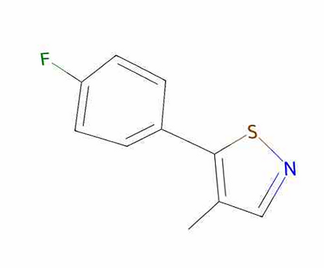 Cc1cnsc1-c1ccc(F)cc1